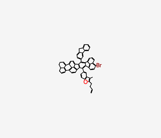 C=CCCc1oc2ccc(-c3c4c5ccc(Br)c6cccc(c4c(-c4ccc7c(c4)-c4ccccc4C7)c4c7ccc8c9c%10c(c%11ccc(c34)c7c%118)C=CCC%10CCC=9)c65)cc2c1C